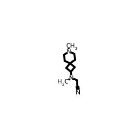 CN1CCC2(CC1)CC(N(C)CC#N)C2